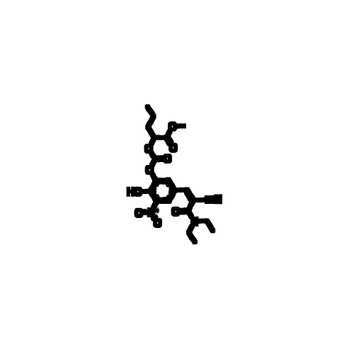 CCCC(OC(=O)Oc1cc(C=C(C#N)C(=O)N(CC)CC)cc([N+](=O)[O-])c1O)C(=O)OC